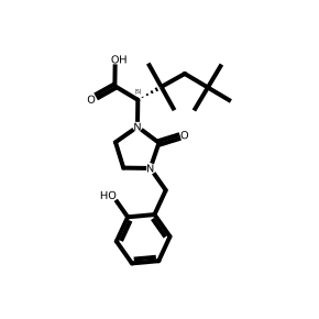 CC(C)(C)CC(C)(C)[C@@H](C(=O)O)N1CCN(Cc2ccccc2O)C1=O